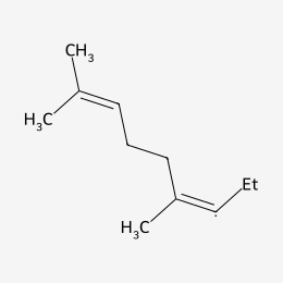 CC[C]=C(C)CCC=C(C)C